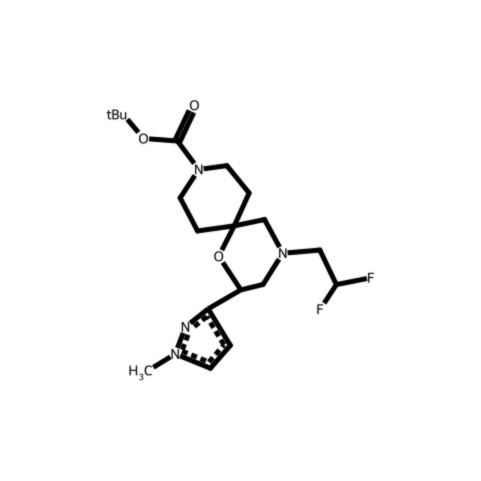 Cn1ccc(C2CN(CC(F)F)CC3(CCN(C(=O)OC(C)(C)C)CC3)O2)n1